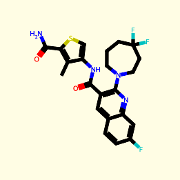 Cc1c(NC(=O)c2cc3ccc(F)cc3nc2N2CCCC(F)(F)CC2)csc1C(N)=O